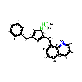 C1=C(Cc2ccccc2)C=[C]([Cr][c]2cccc3cccnc23)C1.Cl.Cl